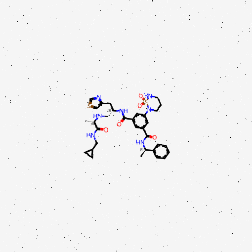 C[C@H](NC[C@H](Cc1cscn1)NC(=O)c1cc(C(=O)N[C@H](C)c2ccccc2)cc(N2CCCNS2(=O)=O)c1)C(=O)NCC1CC1